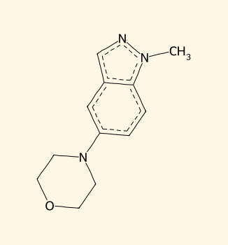 Cn1ncc2cc(N3CCOCC3)ccc21